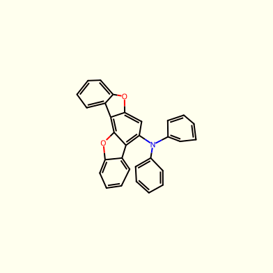 c1ccc(N(c2ccccc2)c2cc3oc4ccccc4c3c3oc4ccccc4c23)cc1